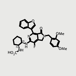 COc1ccc(CN2Cc3c(F)c(N[C@@H]4CCCC[C@@H]4NC(=O)O)nc(-c4coc5ccccc45)c3C2=O)c(OC)c1